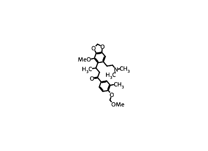 COCOc1ccc(C(=O)CC(C)c2c(CCN(C)C)cc3c(c2OC)OCO3)cc1C